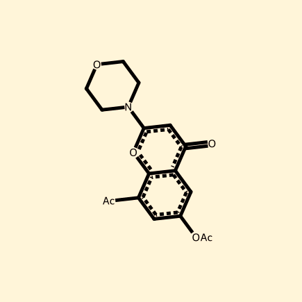 CC(=O)Oc1cc(C(C)=O)c2oc(N3CCOCC3)cc(=O)c2c1